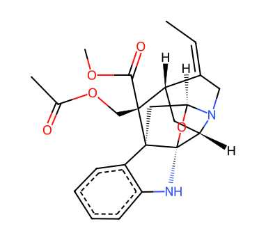 C/C=C1/CN2[C@@H]3C[C@@]45c6ccccc6N[C@]4(O3)[C@@H]2C[C@@H]1[C@@]5(COC(C)=O)C(=O)OC